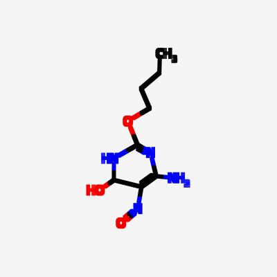 CCCCOC1=NC(N)=C(N=O)C(O)N1